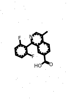 Cc1cnc(-c2c(F)cccc2F)c2cc(C(=O)O)ccc12